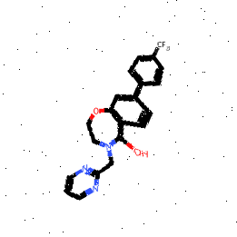 OC1c2ccc(-c3ccc(C(F)(F)F)cc3)cc2OCCN1Cc1ncccn1